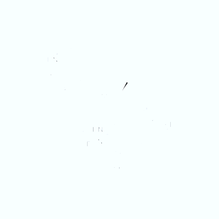 C[C@H](OCC1(c2ccc(F)cc2)CCNCC1)c1cc(Cl)cc2c(Cl)n[nH]c12